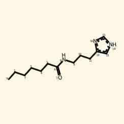 CCCCCCC(=O)NCCCc1c[nH]cn1